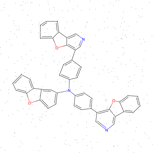 c1ccc2c(c1)oc1ccc(N(c3ccc(-c4cncc5c4oc4ccccc45)cc3)c3ccc(-c4cncc5c4oc4ccccc45)cc3)cc12